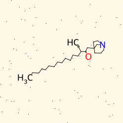 C#CC(CCCCCCCCCCCCC)C(=O)CC12CCCN(CC1)C2